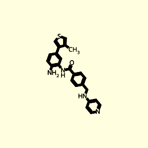 Cc1cscc1-c1ccc(N)c(NC(=O)c2ccc(CNc3ccncc3)cc2)c1